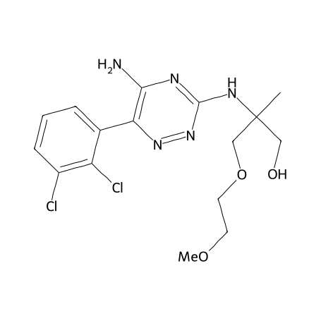 COCCOCC(C)(CO)Nc1nnc(-c2cccc(Cl)c2Cl)c(N)n1